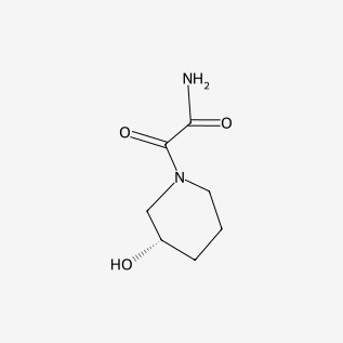 NC(=O)C(=O)N1CCC[C@H](O)C1